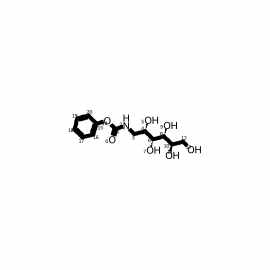 O=C(NC[C@H](O)[C@@H](O)[C@H](O)[C@H](O)CO)Oc1ccccc1